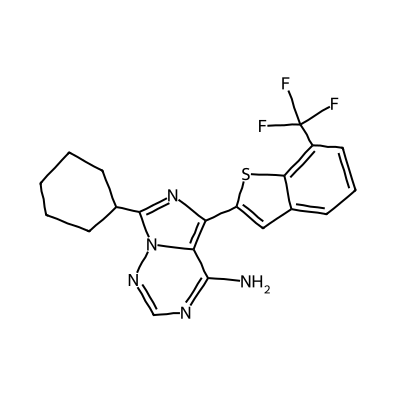 Nc1ncnn2c(C3CCCCC3)nc(-c3cc4cccc(C(F)(F)F)c4s3)c12